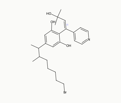 CC(CCCCCBr)C(C)c1cc(O)c(/C(=C\C(C)(C)O)c2ccncc2)c(O)c1